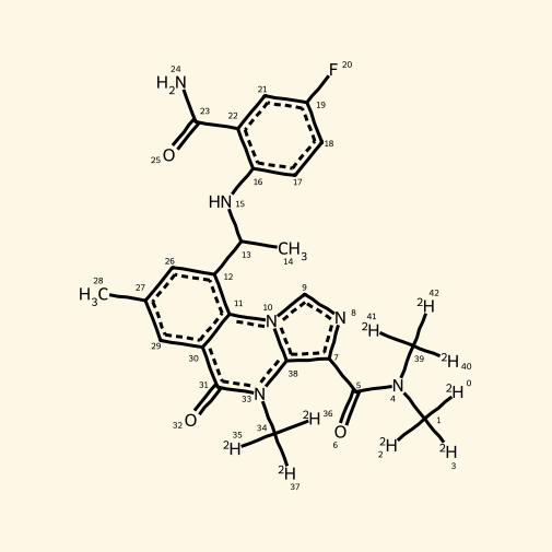 [2H]C([2H])([2H])N(C(=O)c1ncn2c3c(C(C)Nc4ccc(F)cc4C(N)=O)cc(C)cc3c(=O)n(C([2H])([2H])[2H])c12)C([2H])([2H])[2H]